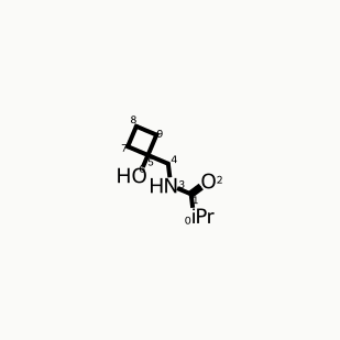 CC(C)C(=O)NCC1(O)CCC1